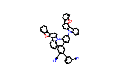 N#Cc1cccc(-c2cc(-c3ccc(-n4c5ccccc5c5c6oc7ccccc7c6ccc54)cc3-n3c4ccccc4c4c5oc6ccccc6c5ccc43)ccc2C#N)c1